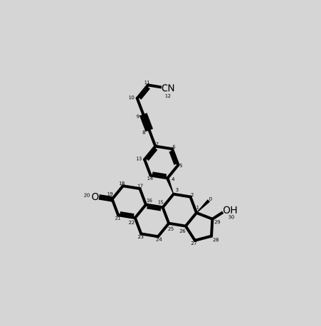 C[C@]12C[C@H](c3ccc(C#C/C=C\C#N)cc3)C3=C4CCC(=O)C=C4CCC3C1CCC2O